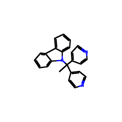 CC(c1ccncc1)(c1ccncc1)n1c2ccccc2c2ccccc21